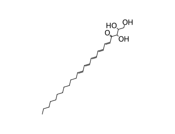 CCCCCCCCCCCC=CC=CC=CC=CC=CC(=O)C(O)C(O)CO